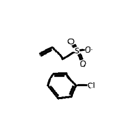 C=CCS([O])(=O)=O.Clc1ccccc1